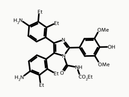 CCOC(=O)NC(=O)n1c(-c2cc(OC)c(O)c(OC)c2)nc(-c2ccc(N)c(CC)c2CC)c1-c1ccc(N)c(CC)c1CC